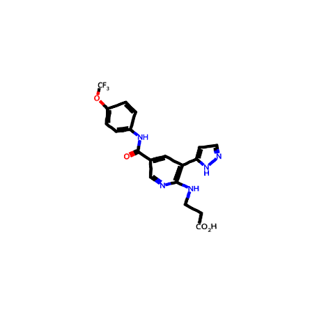 O=C(O)CCNc1ncc(C(=O)Nc2ccc(OC(F)(F)F)cc2)cc1-c1ccn[nH]1